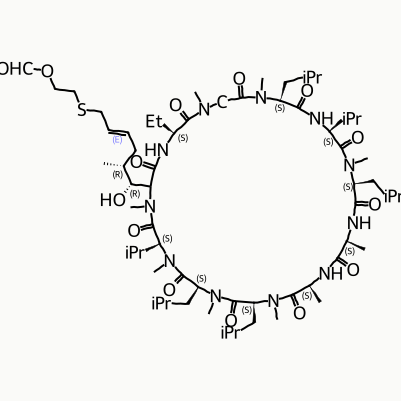 CC[C@@H]1NC(=O)C([C@H](O)[C@H](C)C/C=C/CSCCOC=O)N(C)C(=O)[C@H](C(C)C)N(C)C(=O)[C@H](CC(C)C)N(C)C(=O)[C@H](CC(C)C)N(C)C(=O)[C@H](C)NC(=O)[C@H](C)NC(=O)[C@H](CC(C)C)N(C)C(=O)[C@H](C(C)C)NC(=O)[C@H](CC(C)C)N(C)C(=O)CN(C)C1=O